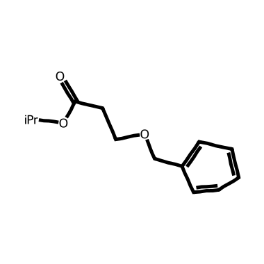 CC(C)OC(=O)CCOCc1ccccc1